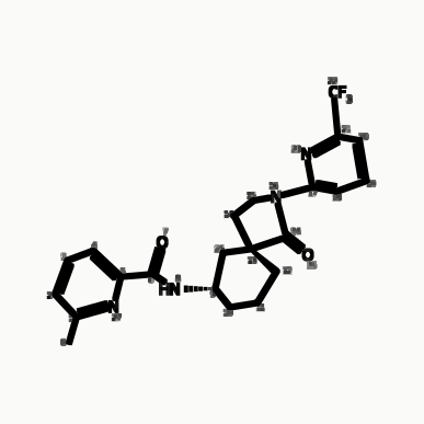 Cc1cccc(C(=O)N[C@H]2CCC[C@]3(CCN(c4cccc(C(F)(F)F)n4)C3=O)C2)n1